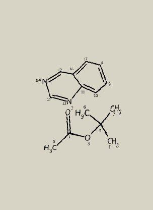 CC(=O)OC(C)(C)C.c1ccc2ncncc2c1